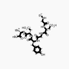 CCCCC(=O)[C@@H](NC(=O)[C@H](CC(=O)O)NC(=O)[C@H](Cc1ccc(O)cc1)NC(=O)CNC(=O)[C@H](CC(=O)O)NC(=O)CNCC)C(C)(C)C